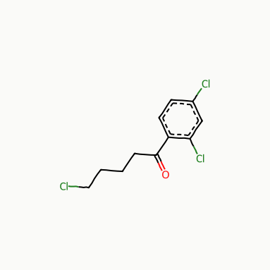 O=C(CCCCCl)c1ccc(Cl)cc1Cl